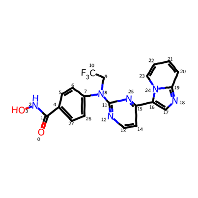 O=C(NO)c1ccc(N(CC(F)(F)F)c2nccc(-c3cnc4ccccn34)n2)cc1